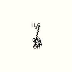 CCCCCCCCCCCC(=O)C(=O)NCC(O)CO